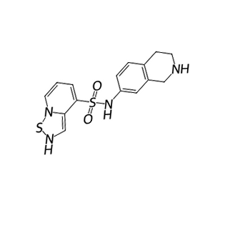 O=S(=O)(Nc1ccc2c(c1)CNCC2)C1=CC=CN2SNC=C12